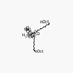 CCCCCCCC/C=C\CCCCCCCC(=O)OC(CC[N+](C)(C)C)OC(=O)CCCCCCC/C=C\CCCCCCCC.CS(=O)(=O)[O-]